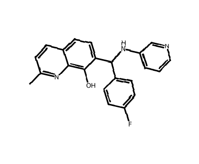 Cc1ccc2ccc(C(Nc3cccnc3)c3ccc(F)cc3)c(O)c2n1